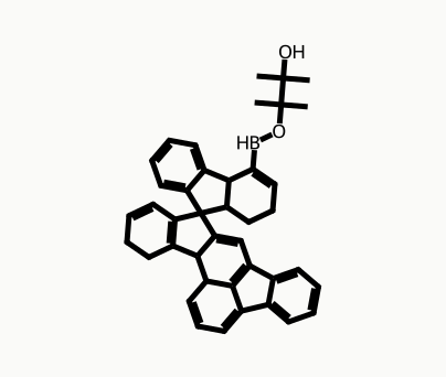 CC(C)(O)C(C)(C)OBC1=CCCC2C1c1ccccc1C21C2=CC3=C4C(=CC=CC4C2C2=C1C=CCC2)c1ccccc13